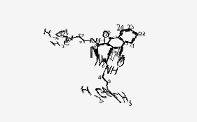 CN(C)CCNc1nnc(NCCN(C)C)c2c1C(=O)c1ccccc1C2=O